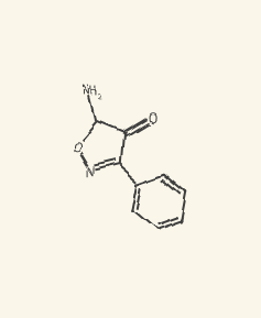 NC1ON=C(c2ccccc2)C1=O